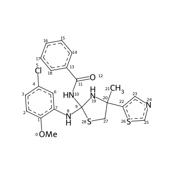 COc1ccc(Cl)cc1NC1(NC(=O)c2ccccc2)NC(C)(c2cncs2)CS1